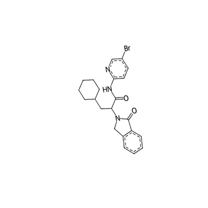 O=C(Nc1ccc(Br)cn1)C(CC1CCCCC1)N1Cc2ccccc2C1=O